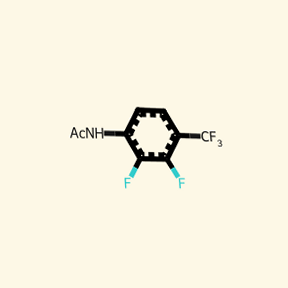 CC(=O)Nc1ccc(C(F)(F)F)c(F)c1F